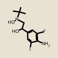 CC(C)(C)N(O)CC(O)c1cc(F)c(N)c(I)c1